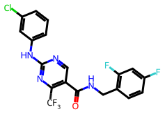 O=C(NCc1ccc(F)cc1F)c1cnc(Nc2cccc(Cl)c2)nc1C(F)(F)F